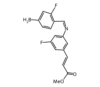 Bc1ccc(/C=N\c2cc(F)cc(/C=C/C(=O)OC)c2)c(F)c1